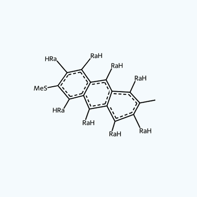 CSc1[c]([RaH])[c]([RaH])c2[c]([RaH])c3[c]([RaH])c(C)[c]([RaH])[c]([RaH])c3[c]([RaH])c2[c]1[RaH]